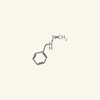 C=NNCc1ccccc1